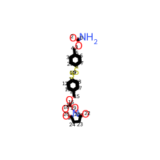 NC(=O)OCc1ccc(SSc2ccc(COC(=O)ON3C(=O)CCC3=O)cc2)cc1